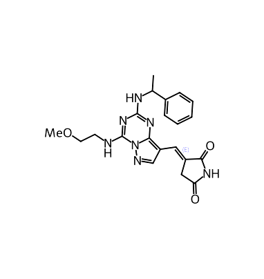 COCCNc1nc(NC(C)c2ccccc2)nc2c(/C=C3\CC(=O)NC3=O)cnn12